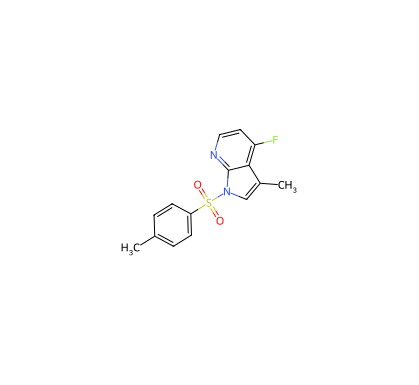 Cc1ccc(S(=O)(=O)n2cc(C)c3c(F)ccnc32)cc1